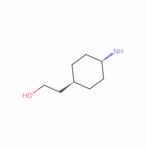 [NH][C@H]1CC[C@@H](CCO)CC1